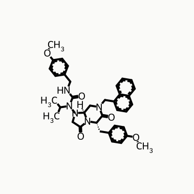 COc1ccc(CNC(=O)N(C(C)C)N2CC(=O)N3[C@@H](Cc4ccc(OC)cc4)C(=O)N(Cc4cccc5ccccc45)C[C@@H]32)cc1